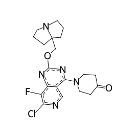 O=C1CCN(c2nc(OCC34CCCN3CCC4)nc3c(F)c(Cl)ncc23)CC1